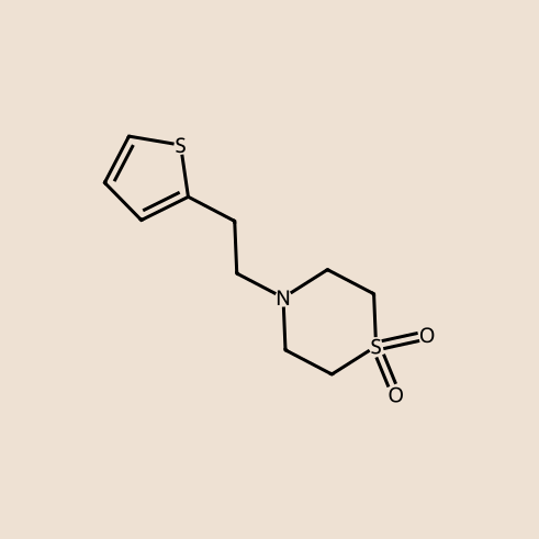 O=S1(=O)CCN(CCc2cccs2)CC1